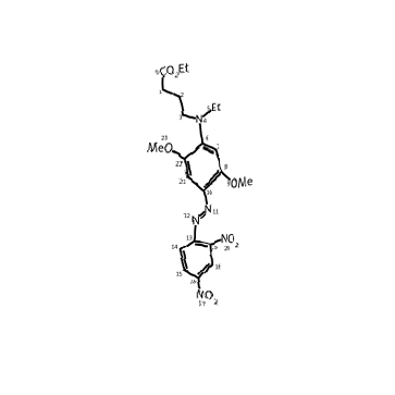 CCOC(=O)CCCN(CC)c1cc(OC)c(N=Nc2ccc([N+](=O)[O-])cc2[N+](=O)[O-])cc1OC